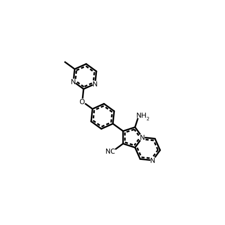 Cc1ccnc(Oc2ccc(-c3c(C#N)c4cnccn4c3N)cc2)n1